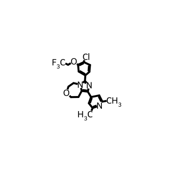 Cc1cc(-c2nc(-c3ccc(Cl)c(OCC(F)(F)F)c3)n3c2CCOCC3)cc(C)n1